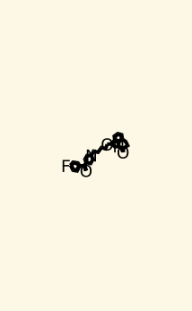 O=C(c1ccc(F)cc1)C1CCN(CCCCOC2CN3C(=O)CCc4cccc2c43)CC1